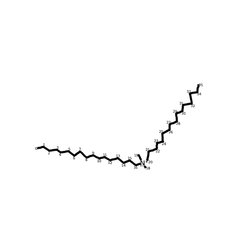 CCCCCCCCCCCCCCCCC[N+](C)(C)CCCCCCCCCCCCCCCC